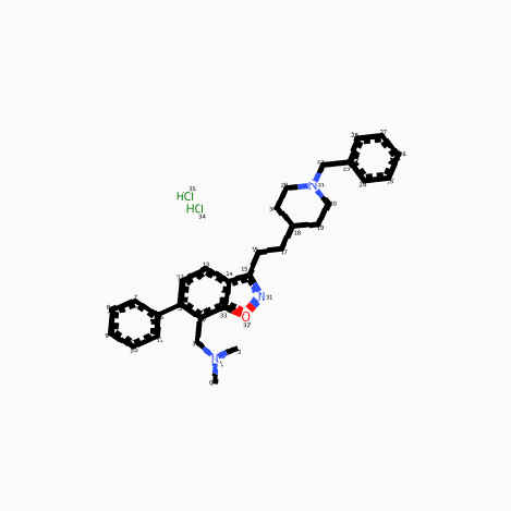 CN(C)Cc1c(-c2ccccc2)ccc2c(CCC3CCN(Cc4ccccc4)CC3)noc12.Cl.Cl